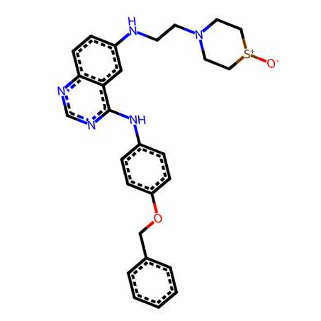 [O-][S+]1CCN(CCNc2ccc3ncnc(Nc4ccc(OCc5ccccc5)cc4)c3c2)CC1